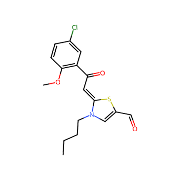 CCCCN1C=C(C=O)SC1=CC(=O)c1cc(Cl)ccc1OC